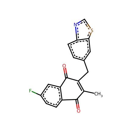 CC1=C(Cc2ccc3ncsc3c2)C(=O)c2cc(F)ccc2C1=O